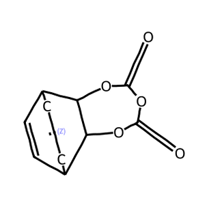 O=C1OC(=O)OC2C3C=CC(C/C=C\C3)C2O1